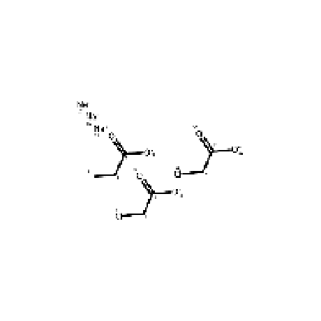 O=C([O-])CCl.O=C([O-])CCl.O=C([O-])CCl.[Na+].[Na+].[Na+]